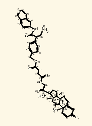 C[C@]12C=CC(=O)C=C1CC[C@H]1[C@@H]3CC[C@](O)(C(=O)COC(=O)CCC(=O)OCc4ccc(C(CN)C(=O)Nc5ccc6cnccc6c5)cc4)[C@@]3(C)C[C@H](O)[C@@]12F